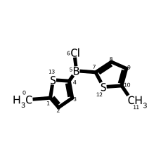 Cc1ccc(B(Cl)c2ccc(C)s2)s1